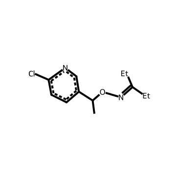 CCC(CC)=NOC(C)c1ccc(Cl)nc1